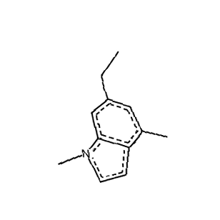 CCc1cc(C)c2ccn(C)c2c1